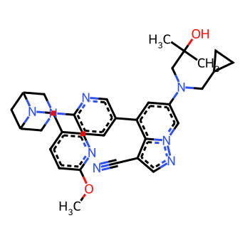 COc1ccc(CN2C3CC2CN(c2ccc(-c4cc(N(CC5CC5)CC(C)(C)O)cn5ncc(C#N)c45)cn2)C3)cn1